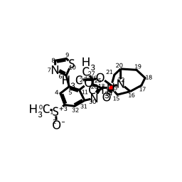 C[S+]([O-])c1cc(-c2nccs2)c2oc(N3CC4CCCC(C3)N4C(=O)OC(C)(C)C)nc2c1